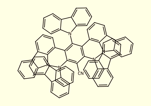 N#Cc1c(-n2c3ccccc3c3ccccc32)c(-c2cccc3c4ccccc4n(-c4ccccc4)c23)c(-n2c3ccccc3c3ccccc32)c(-c2cccc3c4ccccc4n(-c4ccccc4)c23)c1-n1c2ccccc2c2ccccc21